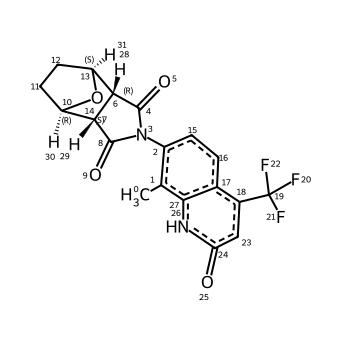 Cc1c(N2C(=O)[C@@H]3[C@H](C2=O)[C@H]2CC[C@@H]3O2)ccc2c(C(F)(F)F)cc(=O)[nH]c12